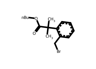 CCCCOC(=O)C(C)(C)c1ccccc1CBr